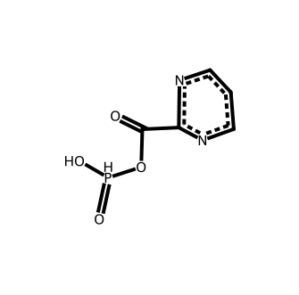 O=C(O[PH](=O)O)c1ncccn1